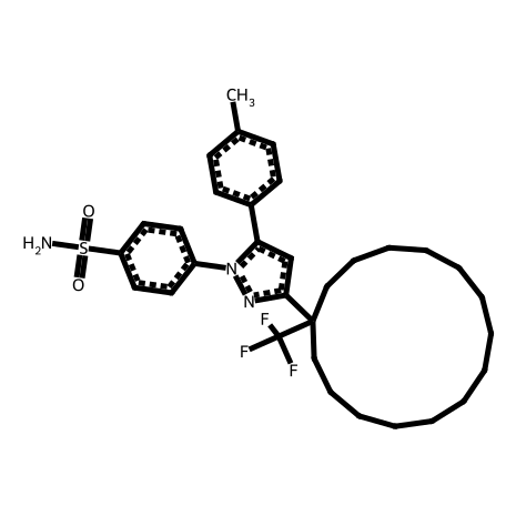 Cc1ccc(-c2cc(C3(C(F)(F)F)CCCCCCCCCCCCCC3)nn2-c2ccc(S(N)(=O)=O)cc2)cc1